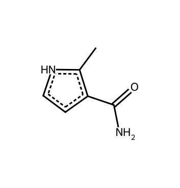 Cc1[nH]ccc1C(N)=O